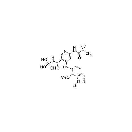 CCn1ncc2ccc(Nc3cc(NC(=O)C4(C(F)(F)F)CC4)ncc3C(=O)NC(O)(O)O)c(OC)c21